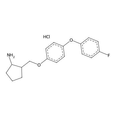 Cl.NC1CCCC1COc1ccc(Oc2ccc(F)cc2)cc1